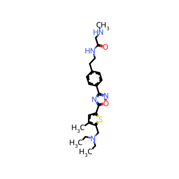 CCN(CC)Cc1sc(-c2nc(-c3ccc(CCNC(=O)CNC)cc3)no2)cc1C